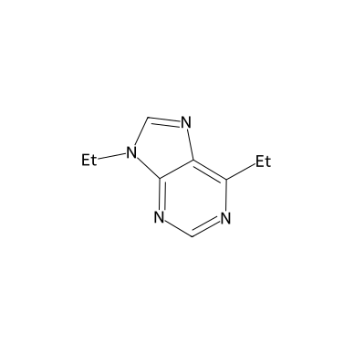 CCc1ncnc2c1ncn2CC